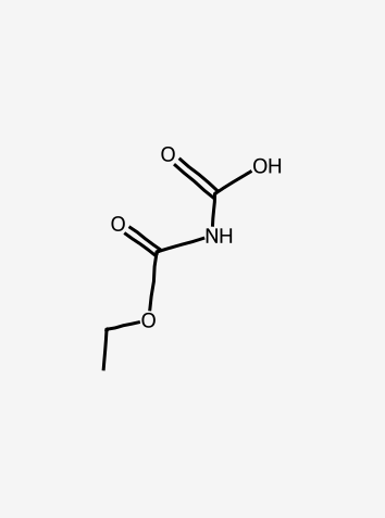 CCOC(=O)NC(=O)O